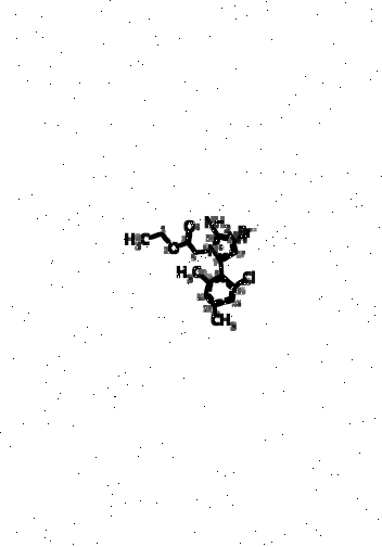 CCOC(=O)C[n+]1c(-c2c(C)cc(C)cc2Cl)c[nH]c1N.[Br-]